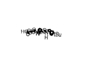 CC(C)(C)c1ccc2c(c1)CC[C@H]2NC(=O)Nc1cccc2c1cnn2C(=O)OCOP(=O)(O)O